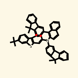 CC(C)(C)c1ccc2c(c1)sc1cc(N(c3ccc4c(c3)-c3ccccc3C4(C)C)c3ccc4ccccc4c3-c3ccc4c(c3)-c3ccccc3C4(C)C)ccc12